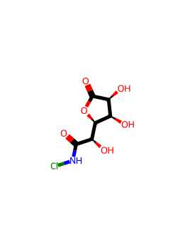 O=C1O[C@H]([C@@H](O)C(=O)NCl)[C@H](O)[C@@H]1O